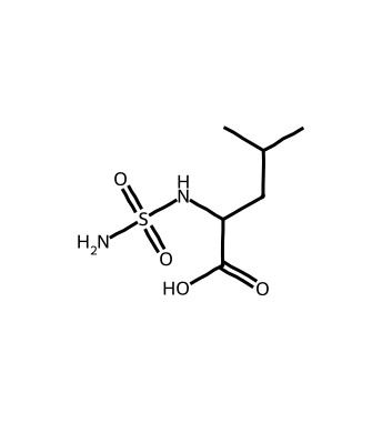 CC(C)CC(NS(N)(=O)=O)C(=O)O